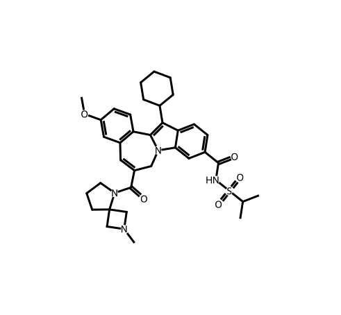 COc1ccc2c(c1)C=C(C(=O)N1CCCC13CN(C)C3)Cn1c-2c(C2CCCCC2)c2ccc(C(=O)NS(=O)(=O)C(C)C)cc21